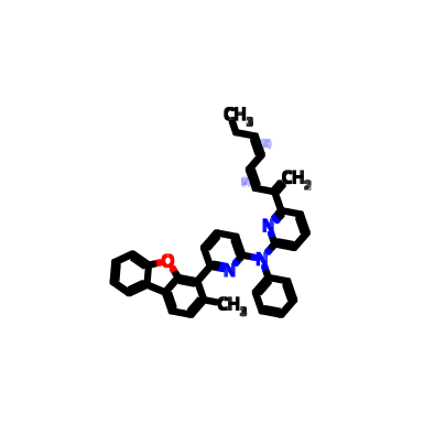 C=C(/C=C\C=C/CC)c1cccc(N(c2ccccc2)c2cccc(-c3c(C)ccc4c3oc3ccccc34)n2)n1